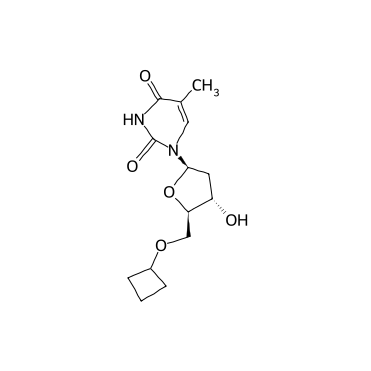 Cc1cn([C@H]2C[C@H](O)[C@@H](COC3CCC3)O2)c(=O)[nH]c1=O